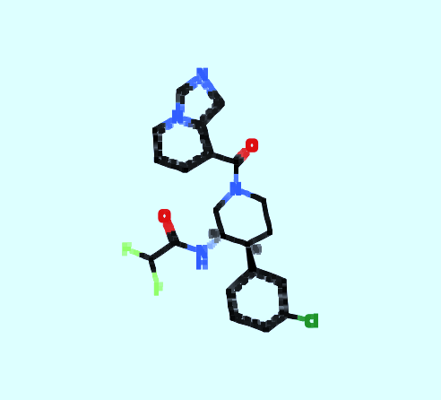 O=C(N[C@@H]1CN(C(=O)c2cccn3cncc23)CC[C@H]1c1cccc(Cl)c1)C(F)F